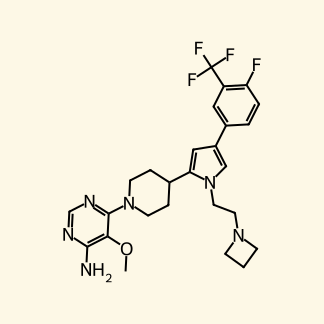 COc1c(N)ncnc1N1CCC(c2cc(-c3ccc(F)c(C(F)(F)F)c3)cn2CCN2CCC2)CC1